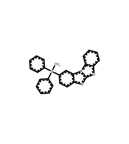 C[Si](c1ccccc1)(c1ccccc1)c1ccc2nc3oc4ccccc4n3c2c1